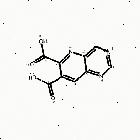 O=C(O)c1cc2ncncc2nc1C(=O)O